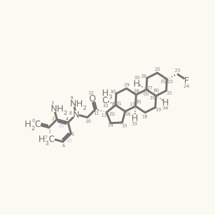 C=C/C(N)=C(\C=C/C)N(N)CC(=O)[C@H]1CCC2[C@@H]3CC[C@@H]4C[C@@H](CF)CC[C@@H]4C3CC[C@@]21C